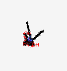 CCCCCCCCCCCCCCCCCC(=O)N(CCCCCCCCCCCCCC)[C@@H]1O[C@H](CO)[C@@H](O)[C@H](O)[C@H]1NC(=O)[C@H](Cc1ccccc1)NC(=O)CCCC(=O)O